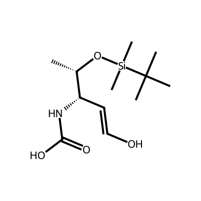 C[C@H](O[Si](C)(C)C(C)(C)C)[C@H](C=CO)NC(=O)O